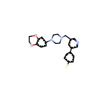 Fc1ccc(-c2cncc(CN3CCN(c4ccc5c(c4)OCCO5)CC3)c2)cc1